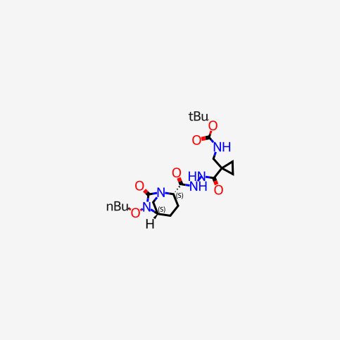 CCCCON1C(=O)N2C[C@@H]1CC[C@H]2C(=O)NNC(=O)C1(CNC(=O)OC(C)(C)C)CC1